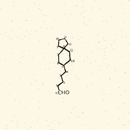 O=CCCCCC1CCC2(CCCC2)CC1